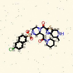 CC1Cc2nc(C(=O)N3CCN(S(=O)(=O)c4ccc5cc(Cl)ccc5c4)CC3CC(=O)N3CCCCC3)sc2CN1